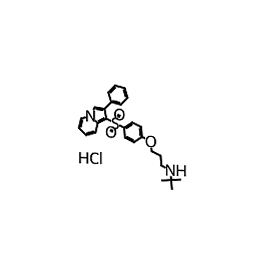 CC(C)(C)NCCCOc1ccc(S(=O)(=O)c2c(-c3ccccc3)cn3ccccc23)cc1.Cl